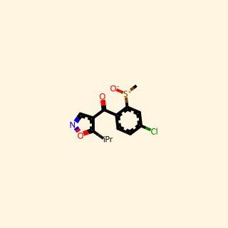 CC(C)c1oncc1C(=O)c1ccc(Cl)cc1[S+](C)[O-]